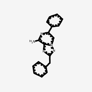 Nc1nc(-c2ccccc2)cn2nc(Cc3ccccc3)nc12